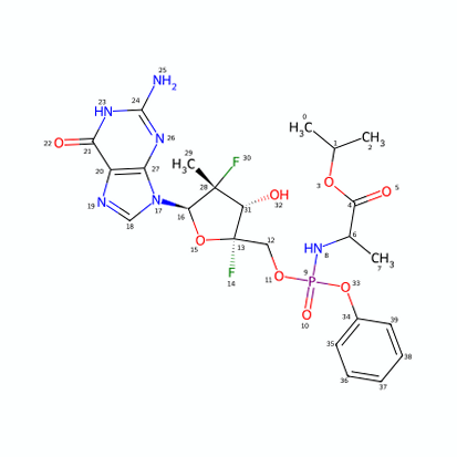 CC(C)OC(=O)C(C)NP(=O)(OC[C@@]1(F)O[C@@H](n2cnc3c(=O)[nH]c(N)nc32)[C@](C)(F)[C@@H]1O)Oc1ccccc1